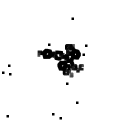 O=Nc1cccc2c1N=C(N1CCN(c3ccc(F)cc3)CC1)N(c1cccc(C(F)(F)F)c1)C2CC(=O)O